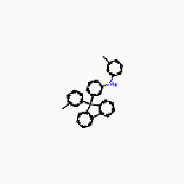 Cc1cccc(Nc2cccc(C3(c4cccc(C)c4)c4ccccc4-c4ccccc43)c2)c1